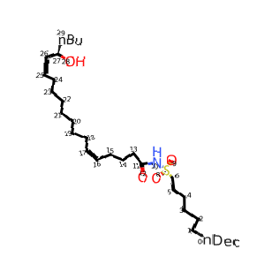 CCCCCCCCCCCCCCCCS(=O)(=O)NC(=O)CCC/C=C\CCCCCCC/C=C\[C@H](O)CCCC